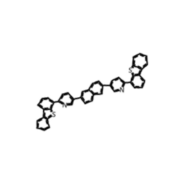 c1ccc2c(c1)sc1c(-c3ccc(-c4ccc5cc(-c6ccc(-c7cccc8c7sc7ccccc78)nc6)ccc5c4)cn3)cccc12